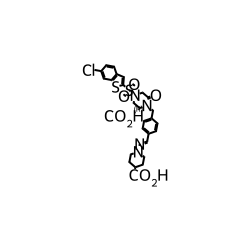 O=C(O)C1CCN(N=Cc2ccc(CN3C(=O)CN(S(=O)(=O)c4cc5ccc(Cl)cc5s4)C[C@@H]3C(=O)O)cc2)CC1